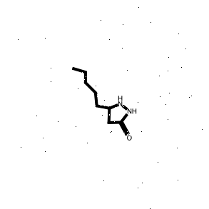 CCCCC[C]1CC(=O)NN1